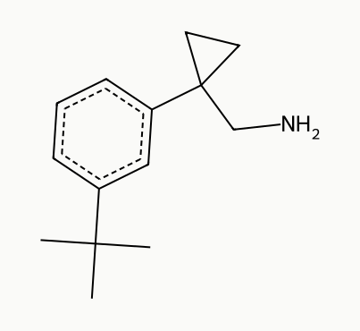 CC(C)(C)c1cccc(C2(CN)CC2)c1